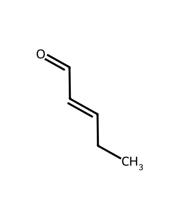 CCC=CC=O